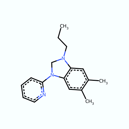 CCCN1CN(c2ccccn2)c2cc(C)c(C)cc21